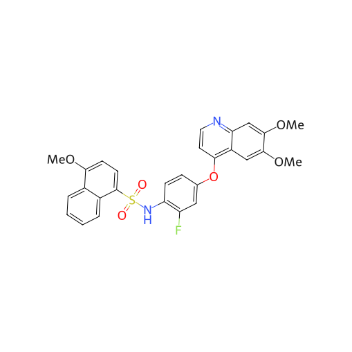 COc1cc2nccc(Oc3ccc(NS(=O)(=O)c4ccc(OC)c5ccccc45)c(F)c3)c2cc1OC